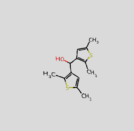 Cc1cc(C(O)c2cc(C)sc2C)c(C)s1